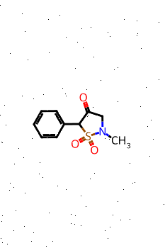 CN1CC(=O)C(c2ccccc2)S1(=O)=O